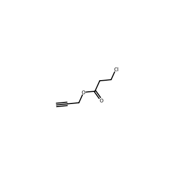 C#CCOC(=O)CCCl